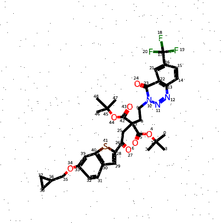 CC(C)(C)OC(=O)C(CCn1nnc2ccc(C(F)(F)F)cc2c1=O)(CC(=O)c1cc2ccc(OCC3CC3)cc2s1)C(=O)OC(C)(C)C